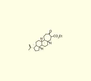 C=C(C)[C@H]1CC[C@H]2C3CC[C@H]4CC(C(=O)OCC)C(=O)CC[C@]4(C)[C@H]3CC[C@]12C